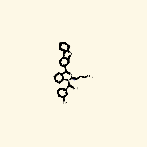 CCC/C=C1\N=C(c2ccc3c(c2)oc2ccccc23)c2ccccc2N1C(=N)c1cccc(Br)c1